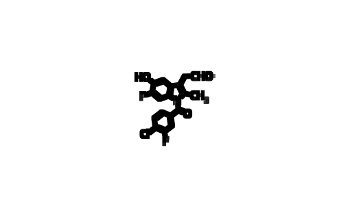 Cc1c(C[C]=O)c2cc(O)c(F)cc2n1C(=O)c1ccc(Cl)c(F)c1